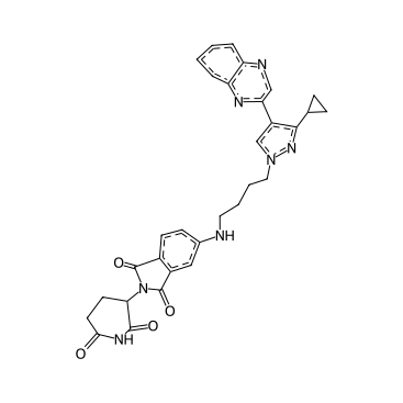 O=C1CCC(N2C(=O)c3ccc(NCCCCn4cc(-c5cnc6ccccc6n5)c(C5CC5)n4)cc3C2=O)C(=O)N1